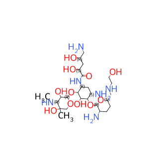 CN[C@@H]1C(O)[C@@H](OC2C(O)C(O[C@H]3O[C@H](CNCCO)CCC3N)[C@@H](N)C[C@H]2NC(=O)[C@@H](O)C[C@@H](O)CN)OCC1(C)O